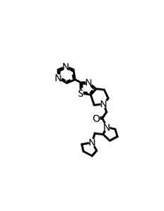 O=C(CN1CCc2nc(-c3cncnc3)sc2C1)N1CCCC1CN1CCCC1